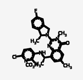 Cc1cc([C@@H](C)Nc2ccc(Cl)nc2C(=O)O)c2nc(N3Cc4cc(F)ccc4[C@@H]3C)n(C)c(=O)c2c1